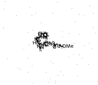 COCCOCC(=O)OCCN1CCN(c2cc(Nc3ncc(C(=O)Nc4c(C)cccc4Cl)s3)nc(C)n2)CC1